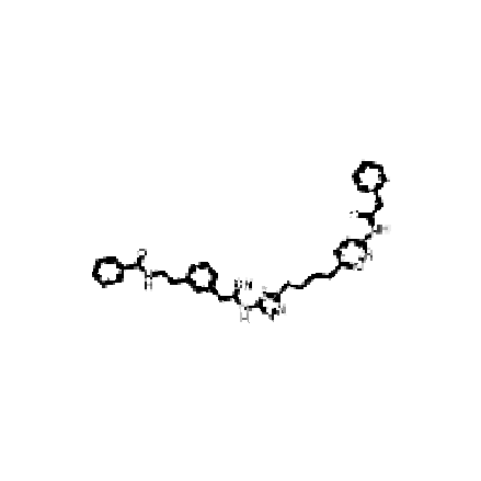 O=C(Cc1ccccc1)Nc1ccc(CCCCc2nnc(NC(O)Cc3cccc(CCNC(=O)c4ccccc4)c3)s2)nn1